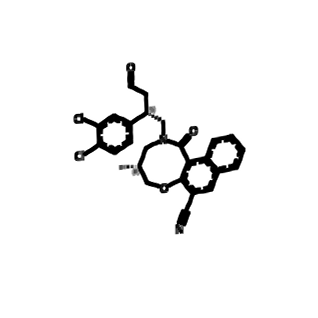 C[C@H]1COc2c(C#N)cc3ccccc3c2C(=O)N(C[C@@H](CC=O)c2ccc(Cl)c(Cl)c2)C1